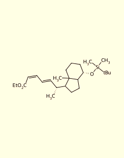 CCOC(=O)/C=C\C=C\[C@@H](C)C1CCC2[C@@H](O[Si](C)(C)C(C)(C)C)CCCC12C